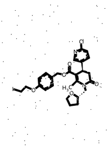 CC1=C(C(=O)OCc2ccc(OCCI)cc2)[C@@H](c2ccc(Cl)nc2)CC(=O)N1C[C@@H]1CCCO1